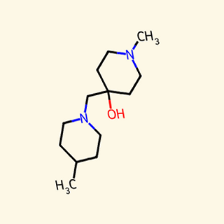 CC1CCN(CC2(O)CCN(C)CC2)CC1